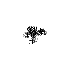 CC(C)(C)OC(=O)N1Cc2ccccc2C[C@H]1C(=O)N[C@H](Cc1ccc(Cl)cc1)C(=O)N1CCN(c2ccccc2N)CC1